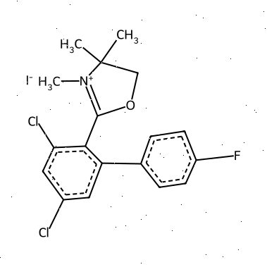 C[N+]1=C(c2c(Cl)cc(Cl)cc2-c2ccc(F)cc2)OCC1(C)C.[I-]